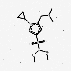 CPN(PC)S(=O)(=O)c1cc(CN(C)C)n(C2CC2)n1